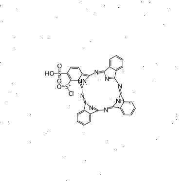 O=S(=O)(O)c1ccc2c3nc4nc(nc5[nH]c(nc6nc(nc([nH]3)c2c1[S+]([O-])Cl)-c1ccccc1-6)c1ccccc51)-c1ccccc1-4